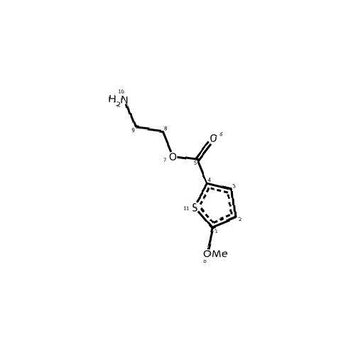 COc1ccc(C(=O)OCCN)s1